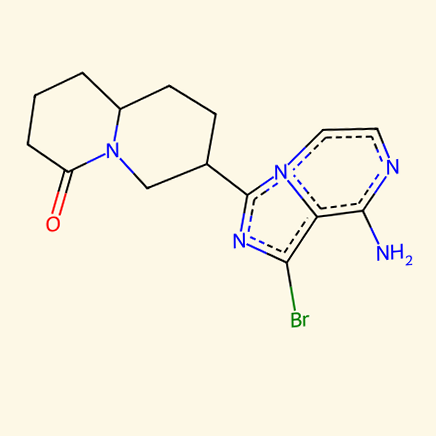 Nc1nccn2c(C3CCC4CCCC(=O)N4C3)nc(Br)c12